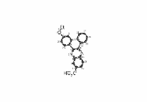 CCOc1ccc(-c2nc3cc(C(=O)O)ccc3nc2-c2ccccc2)cc1